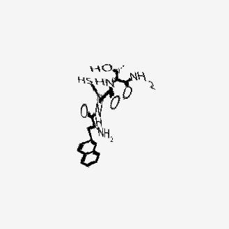 C[C@@H](O)[C@H](NC(=O)[C@H](CS)NC(=O)[C@H](N)Cc1ccc2ccccc2c1)C(N)=O